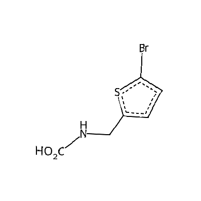 O=C(O)NCc1ccc(Br)s1